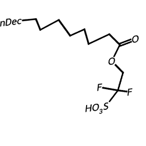 CCCCCCCCCCCCCCCCCC(=O)OCC(F)(F)S(=O)(=O)O